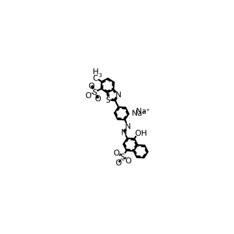 Cc1ccc2nc(-c3ccc(N=Nc4cc(S(=O)(=O)[O-])c5ccccc5c4O)cc3)sc2c1S(=O)(=O)[O-].[Na+].[Na+]